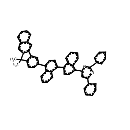 CC1(C)c2ccc(-c3ccc(-c4ccc(-c5cc(-c6ccccc6)nc(-c6ccccc6)n5)c5ccccc45)c4ccccc34)cc2-c2cc3ccccc3cc21